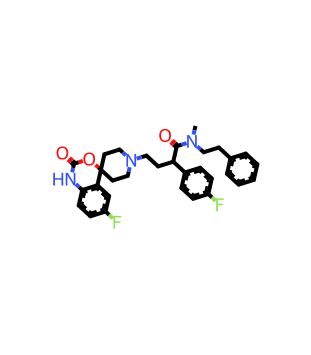 CN(CCc1ccccc1)C(=O)C(CCN1CCC2(CC1)OC(=O)Nc1ccc(F)cc12)c1ccc(F)cc1